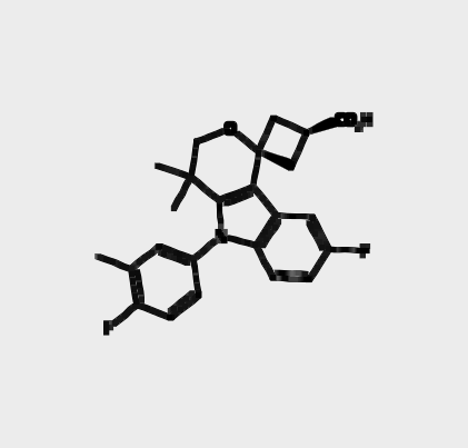 Cc1cc(-n2c3c(c4cc(F)ccc42)[C@]2(C[C@H](C(=O)O)C2)OCC3(C)C)ccc1F